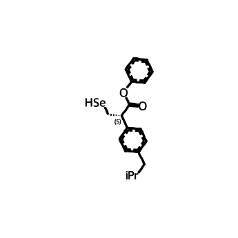 CC(C)Cc1ccc([C@H](C[SeH])C(=O)Oc2ccccc2)cc1